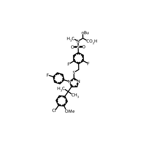 CCCCC(C(=O)O)N(C)S(=O)(=O)c1cc(F)c(CSc2ncc(C(C)(C)c3ccc(Cl)c(OC)c3)n2-c2ccc(F)cc2)c(F)c1